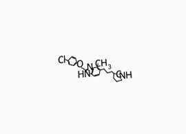 Cc1c(CCCC2CCCNC2)ccc2[nH]c(COc3ccc(Cl)cc3)nc12